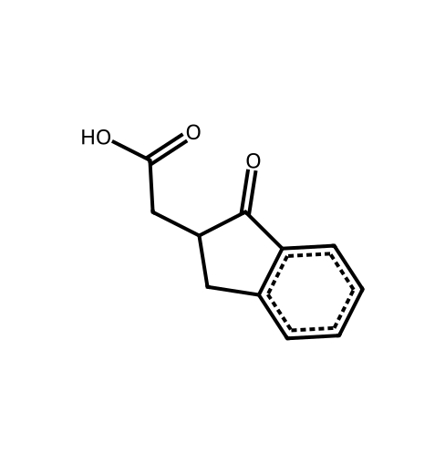 O=C(O)CC1Cc2ccccc2C1=O